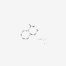 CCNCc1cn(C)c(=O)c2ccccc12